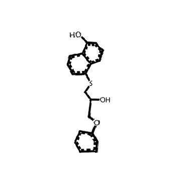 Oc1cccc2c(SCC(O)COc3ccccc3)cccc12